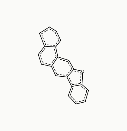 c1ccc2c(c1)ccc1cc3c(cc12)oc1ccccc13